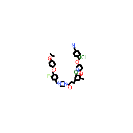 Cc1cc(C=CC(=O)N2CCN(Cc3ccc(COc4ccc(OC(C)C)cc4)c(F)c3)CC2)cc(Cl)c1Oc1ccc(OCc2ccc(C#N)cc2)cn1.Cl